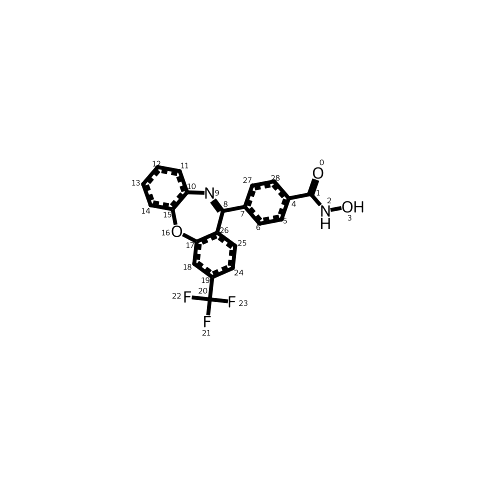 O=C(NO)c1ccc(C2=Nc3ccccc3Oc3cc(C(F)(F)F)ccc32)cc1